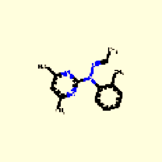 C/C=N/N(c1nc(C)cc(C)n1)c1ccccc1C